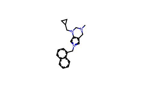 CN1Cc2cn(Cc3cccc4ccccc34)cc2N(CC2CC2)C1